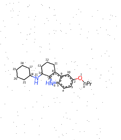 CCCOc1ccc2[nH]c3c(c2c1)CCCC3NC1CCCCC1